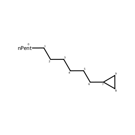 CCCCCCCCCCCC1CC1